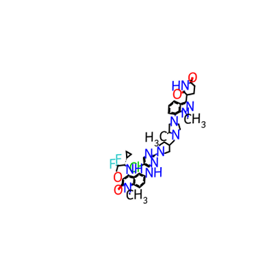 C[C@H]1CN(c2cccc3c(C4CCC(=O)NC4=O)nn(C)c23)CCN1CC1CCN(c2ncc(Cl)c(Nc3ccc4c(c3)c3c(c(=O)n4C)OCC(F)(F)[C@H](C4CC4)N3)n2)CC1